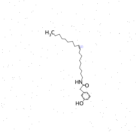 CCCCCCCC/C=C\CCCCCCCCNC(=O)Cc1cccc(O)c1